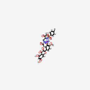 COc1cc(OC)c2c(=O)c(OCC(=O)NCC(NS(=O)(=O)c3ccc(C)cc3)C(C)=O)c(-c3ccc(OC)c(OC)c3)oc2c1